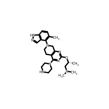 Cc1ccc2[nH]ncc2c1N1CCc2c(nc(O[C@H](C)CN(C)C)nc2N2CCNCC2)C1